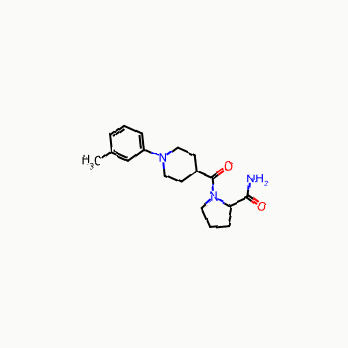 Cc1cccc(N2CCC(C(=O)N3CCCC3C(N)=O)CC2)c1